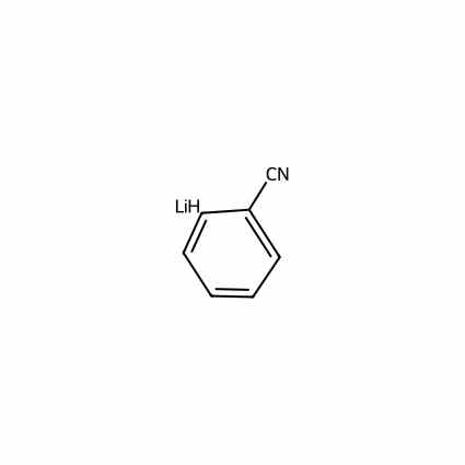 N#Cc1ccccc1.[LiH]